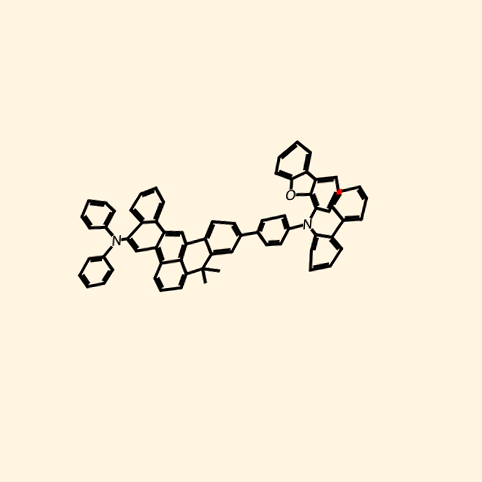 CC1(C)c2cc(-c3ccc(N(c4ccccc4-c4ccccc4)c4cccc5c4oc4ccccc45)cc3)ccc2-c2cc3c4ccccc4c(N(c4ccccc4)c4ccccc4)cc3c3cccc1c23